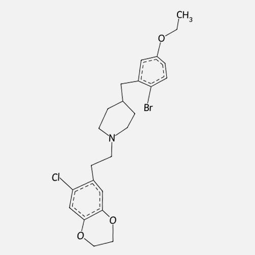 CCOc1ccc(Br)c(CC2CCN(CCc3cc4c(cc3Cl)OCCO4)CC2)c1